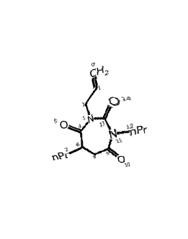 C=CCN1C(=O)C(CCC)CC(=O)N(CCC)C1=O